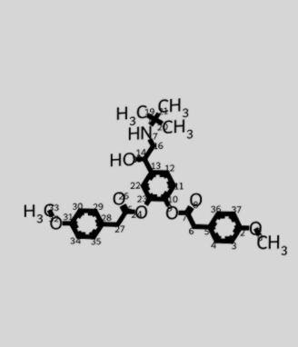 COc1ccc(CC(=O)Oc2ccc(C(O)CNC(C)(C)C)cc2OC(=O)Cc2ccc(OC)cc2)cc1